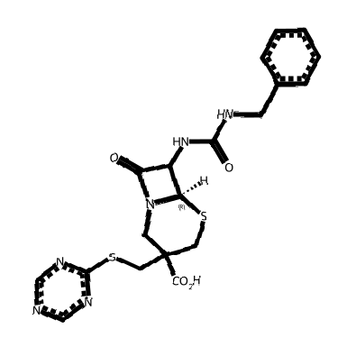 O=C(NCc1ccccc1)NC1C(=O)N2CC(CSc3ncncn3)(C(=O)O)CS[C@H]12